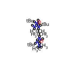 CC(C)(C)c1ccc(N2c3cc(N4c5ccccc5C5(C)CCCCC45C)ccc3B3c4oc5ccccc5c4N(c4ccc(C(C)(C)CCC(C)(C)c5ccc(N6c7ccc(C(C)(C)C)cc7B7c8oc9ccccc9c8N(c8ccc(C(C)(C)C)cc8)c8cc(N(c9ccccc9)c9ccccc9)cc6c87)cc5)cc4)c4cccc2c43)cc1